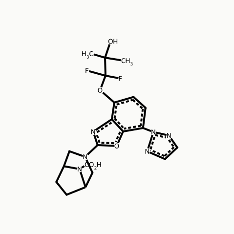 CC(C)(O)C(F)(F)Oc1ccc(-n2nccn2)c2oc(N3CC4CCC(C3)N4C(=O)O)nc12